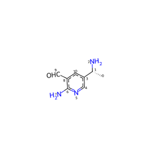 C[C@@H](N)c1cnc(N)c(C=O)c1